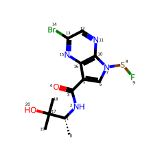 C[C@@H](NC(=O)c1cn(SF)c2ncc(Br)nc12)C(C)(C)O